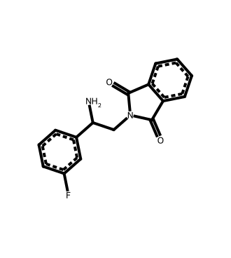 NC(CN1C(=O)c2ccccc2C1=O)c1cccc(F)c1